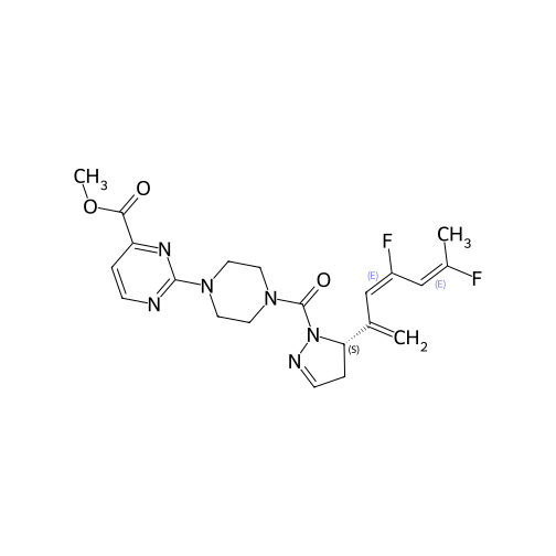 C=C(/C=C(F)\C=C(/C)F)[C@@H]1CC=NN1C(=O)N1CCN(c2nccc(C(=O)OC)n2)CC1